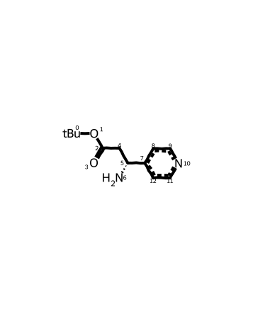 CC(C)(C)OC(=O)C[C@@H](N)c1ccncc1